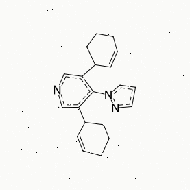 [c]1ncc(C2C=CCCC2)c(-n2cccn2)c1C1C=CCCC1